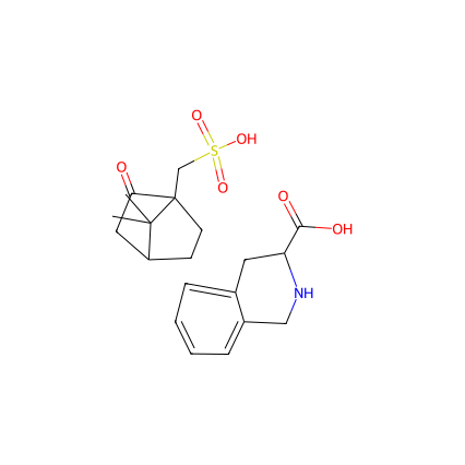 CC1(C)C2CCC1(CS(=O)(=O)O)C(=O)C2.O=C(O)C1Cc2ccccc2CN1